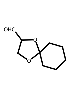 O=CC1COC2(CCCCC2)O1